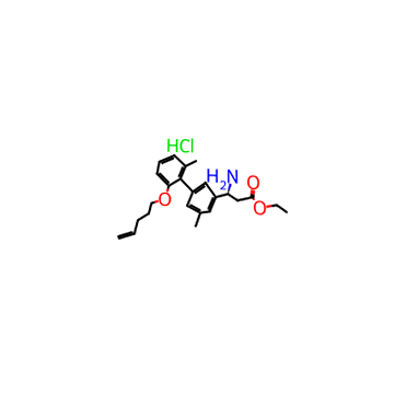 C=CCCCOc1cccc(C)c1-c1cc(C)cc([C@@H](N)CC(=O)OCC)c1.Cl